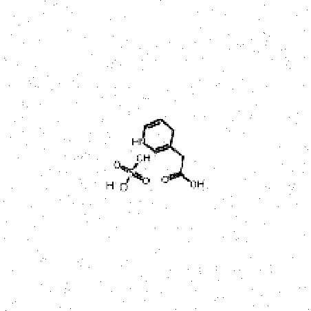 O=C(O)CC1=CNC=CC1.O=S(=O)([O-])O.[H+]